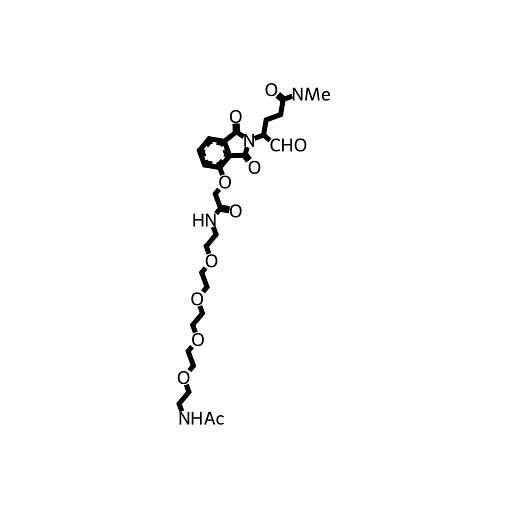 CNC(=O)CCC(C=O)N1C(=O)c2cccc(OCC(=O)NCCOCCOCCOCCOCCNC(C)=O)c2C1=O